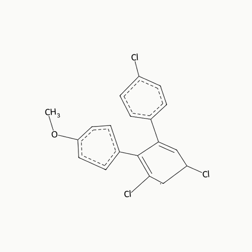 COc1ccc(C2=C(Cl)[CH]C(Cl)C=C2c2ccc(Cl)cc2)cc1